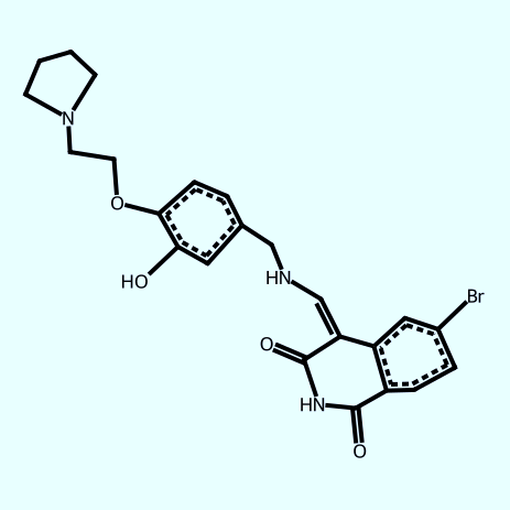 O=C1NC(=O)c2ccc(Br)cc2C1=CNCc1ccc(OCCN2CCCC2)c(O)c1